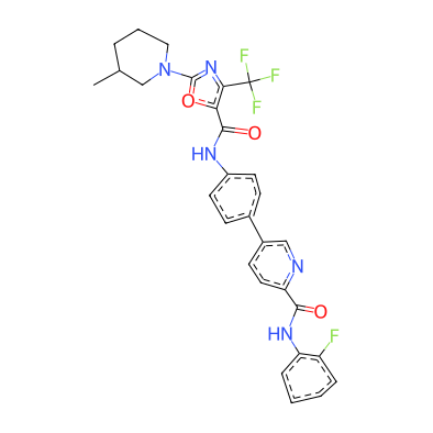 CC1CCCN(c2nc(C(F)(F)F)c(C(=O)Nc3ccc(-c4ccc(C(=O)Nc5ccccc5F)nc4)cc3)o2)C1